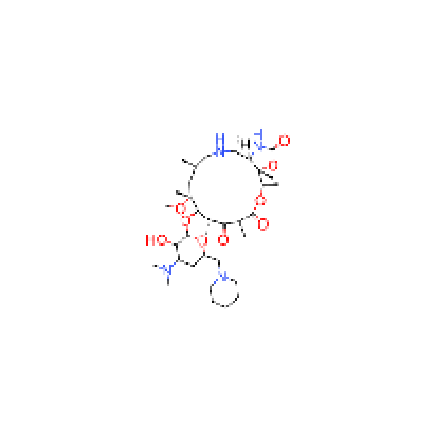 CO[C@]1(C)C[C@@H](C)CN[C@H](C)[C@H]2NC(=O)O[C@]2(C)[C@@H](C)OC(=O)C(C)C(=O)[C@H](C)[C@H]1OC1OC(CN2CCCCC2)CC(N(C)C)C1O